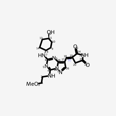 COCCNc1nc(N[C@H]2CC[C@H](O)CC2)nc2c(/C=C3\CC(=O)NC3=O)cnn12